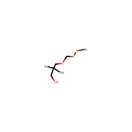 CCC(C#N)(CO)COCSSC(C)C